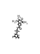 Cc1c2c(n(C)c(=O)c1C)CN(C(=O)CC1CN(c3cc(F)cc(F)c3)C1)C2